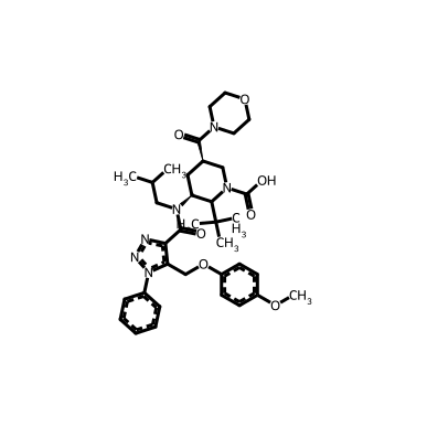 COc1ccc(OCc2c(C(=O)N(CC(C)C)[C@H]3C[C@@H](C(=O)N4CCOCC4)CN(C(=O)O)C3C(C)(C)C)nnn2-c2ccccc2)cc1